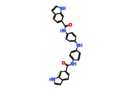 O=C(Nc1ccc(Nc2ccc(NC(=O)c3ccc4cc[nH]c4c3)cc2)cc1)c1ccc2cc[nH]c2c1